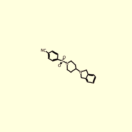 N#Cc1ccc(S(=O)(=O)N2CCC(N3Cc4ccccc4C3)CC2)cc1